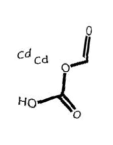 O=COC(=O)O.[Cd].[Cd]